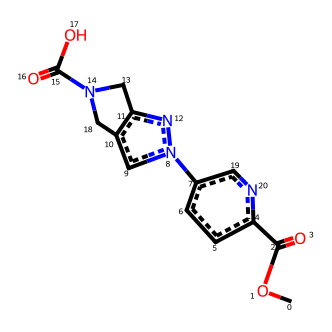 COC(=O)c1ccc(-n2cc3c(n2)CN(C(=O)O)C3)cn1